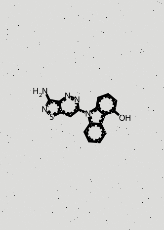 Nc1nsc2cc(-n3c4ccccc4c4c(O)cccc43)nnc12